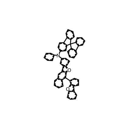 c1ccc(N(c2ccc3c(c2)C2(c4ccccc4-c4ccccc42)c2ccccc2-3)c2ccc3oc4c(-c5cccc6c5oc5ccccc56)c5ccccc5cc4c3c2)cc1